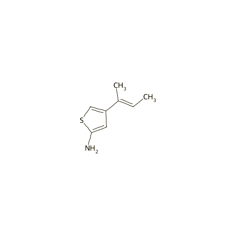 C/C=C(\C)c1csc(N)c1